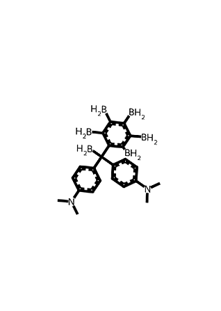 Bc1c(B)c(B)c(C(B)(c2ccc(N(C)C)cc2)c2ccc(N(C)C)cc2)c(B)c1B